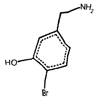 NCc1ccc(Br)c(O)c1